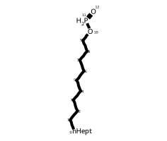 CCCCCCCCCCCCCCCCO[PH2]=O